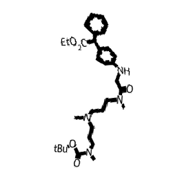 CCOC(=O)C(c1ccccc1)c1ccc(NCC(=O)N(C)CCCN(C)CCCN(C)C(=O)OC(C)(C)C)cc1